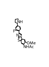 COc1cc2c(cc1NC(C)=O)sc1nc(-c3ccc(C4CCCN4)cc3F)cn12